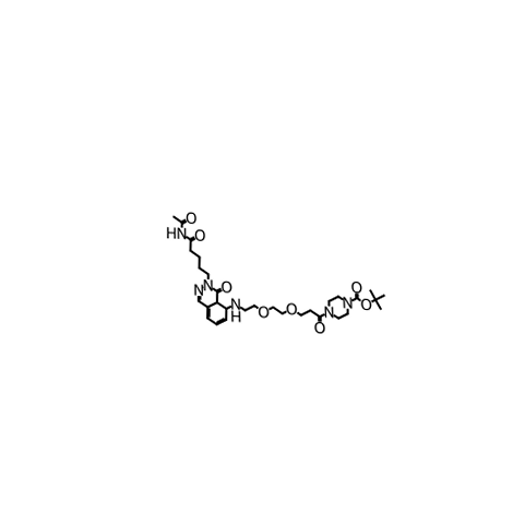 CC(=O)NC(=O)CCCCN1N=CC2=CC=CC(NCCOCCOCCC(=O)N3CCN(C(=O)OC(C)(C)C)CC3)C2C1=O